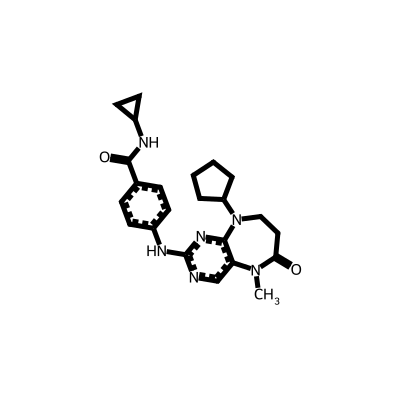 CN1C(=O)CCN(C2CCCC2)c2nc(Nc3ccc(C(=O)NC4CC4)cc3)ncc21